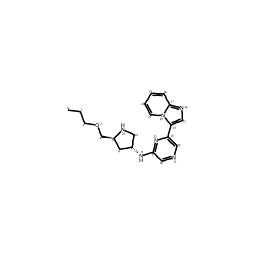 CCCOC[C@@H]1C[C@@H](Nc2cncc(-c3cnc4ccccn34)n2)CN1